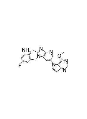 COc1ncnc2ccn(-c3cnc4nc(C)n(Cc5cc(N)cc(F)c5)c4c3)c12